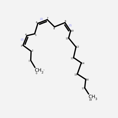 [CH2]CC/C=C\C/C=C\C/C=C\CCCCCCCC